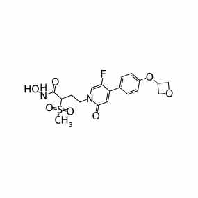 CS(=O)(=O)C(CCn1cc(F)c(-c2ccc(OC3COC3)cc2)cc1=O)C(=O)NO